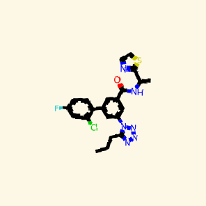 CCCc1nnnn1-c1cc(C(=O)NC(C)c2nccs2)cc(-c2ccc(F)cc2Cl)c1